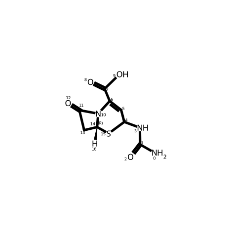 NC(=O)NC1C=C(C(=O)O)N2C(=O)C[C@H]2S1